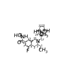 CCC1Cc2c(F)cc(C(=O)NO)cc2CN1CC1C[C@H]2CC[C@@H](C1)N2C